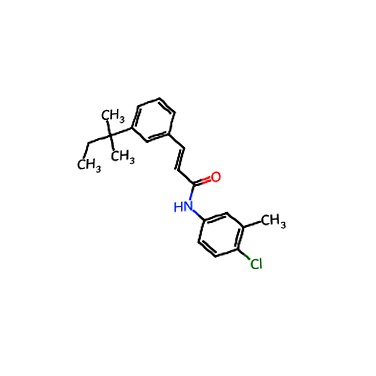 CCC(C)(C)c1cccc(/C=C/C(=O)Nc2ccc(Cl)c(C)c2)c1